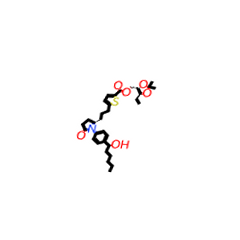 CCCCC[C@H](O)c1ccc(N2C(=O)CC[C@@H]2CCCc2ccc(C(=O)OC[C@@H]3OC(C)(C)O[C@H]3CC)s2)cc1